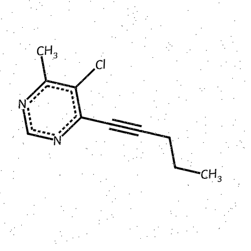 CCCC#Cc1ncnc(C)c1Cl